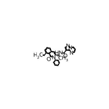 C=Cc1cccc2cc([C@H](C)NC(=O)c3cnn4cccnc34)n(-c3ccccc3)c(=O)c12